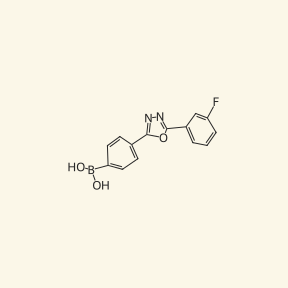 OB(O)c1ccc(-c2nnc(-c3cccc(F)c3)o2)cc1